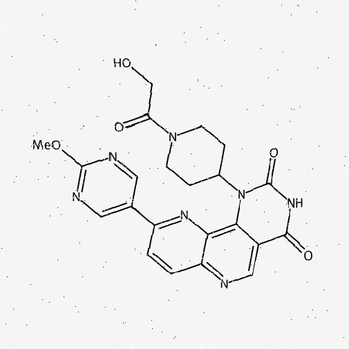 COc1ncc(-c2ccc3ncc4c(=O)[nH]c(=O)n(C5CCN(C(=O)CO)CC5)c4c3n2)cn1